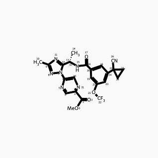 COC(=O)c1cnc(-n2nc(C)nc2[C@H](C)NC(=O)c2cc(OC(F)(F)F)cc(C3(C#N)CC3)c2)cn1